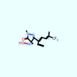 C=C/C(=C\C=C(/C)C(F)(F)F)C1=NN(C)C(=O)C1(C)NO